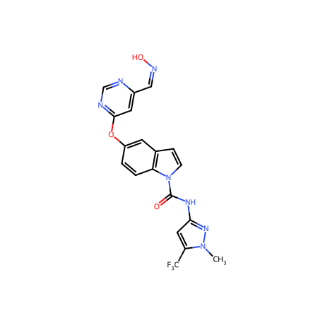 Cn1nc(NC(=O)n2ccc3cc(Oc4cc(/C=N\O)ncn4)ccc32)cc1C(F)(F)F